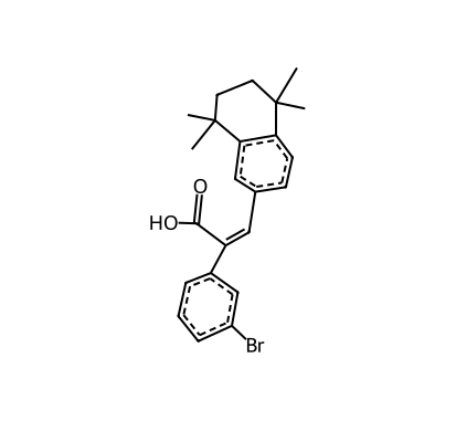 CC1(C)CCC(C)(C)c2cc(C=C(C(=O)O)c3cccc(Br)c3)ccc21